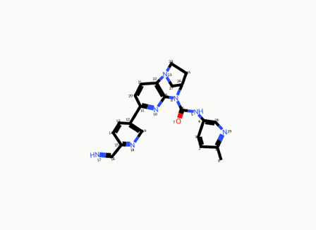 Cc1ccc(NC(=O)N2c3nc(-c4ccc(C=N)nc4)ccc3N3CCC2C3)cn1